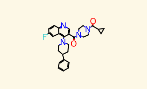 O=C(c1cnc2ccc(F)cc2c1N1CCC(c2ccccc2)CC1)N1CCN(C(=O)C2CC2)CC1